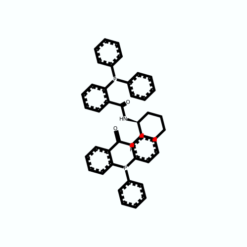 O=C(NC1CCCC[C@@H]1NC(=O)c1ccccc1P(c1ccccc1)c1ccccc1)c1ccccc1P(c1ccccc1)c1ccccc1